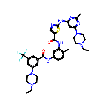 CCN1CCN(c2cc(C(=O)Nc3ccc(C)c(NC(=O)c4cnc(Nc5cc(N6CCN(CC)CC6)nc(C)n5)s4)c3)cc(C(F)(F)F)c2)CC1